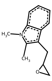 Cc1c(CC2CO2)c2ccccc2n1C